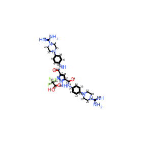 N=C(N)N1CCN(c2ccc(NC(=O)c3cc(C(=O)Nc4ccc(N5CCN(C(=N)N)CC5)cc4)[nH]n3)cc2)CC1.O=C(O)C(F)(F)F